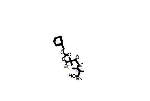 CC[C@H](OC(=O)OCc1ccccc1)C(C)(C)C(=O)[C@H](C)/C(C)=C(\C)[C@H](C)O